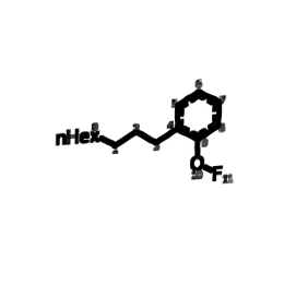 CCCCCCCCCc1ccccc1OF